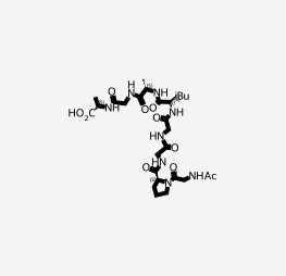 CC[C@H](C)[C@H](NC(=O)CNC(=O)CNC(=O)[C@@H]1CCCN1C(=O)CNC(C)=O)C(=O)N[C@@H](C)C(=O)NCC(=O)N[C@@H](C)C(=O)O